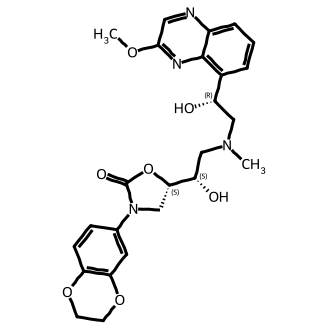 COc1cnc2cccc([C@@H](O)CN(C)C[C@H](O)[C@@H]3CN(c4ccc5c(c4)OCCO5)C(=O)O3)c2n1